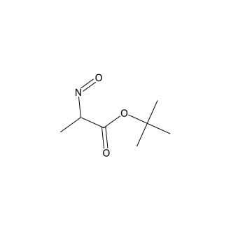 CC(N=O)C(=O)OC(C)(C)C